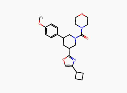 O=C(N1CCOCC1)N1CC(c2ccc(OC(F)(F)F)cc2)CC(c2nc(C3CCC3)co2)C1